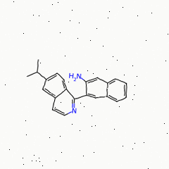 CC(C)c1ccc2c(-c3cc4ccccc4cc3N)nccc2c1